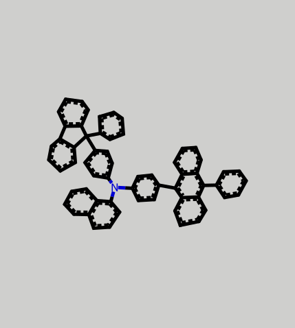 c1ccc(-c2c3ccccc3c(-c3ccc(N(c4ccc(C5(c6ccccc6)c6ccccc6-c6ccccc65)cc4)c4cccc5ccccc45)cc3)c3ccccc23)cc1